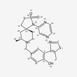 Cc1scnc1-c1cc(CN2CC[C@]3(CCS(=O)(=O)N3c3cnccn3)C[C@@H]2C)ccc1O